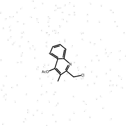 CC(=O)Oc1c(C)c(CCl)nc2ccccc12